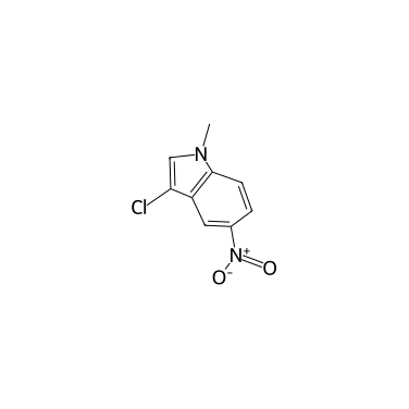 Cn1cc(Cl)c2cc([N+](=O)[O-])ccc21